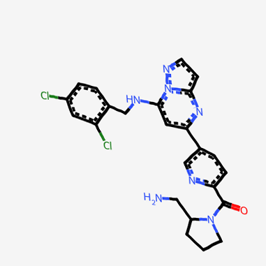 NCC1CCCN1C(=O)c1ccc(-c2cc(NCc3ccc(Cl)cc3Cl)n3nccc3n2)cn1